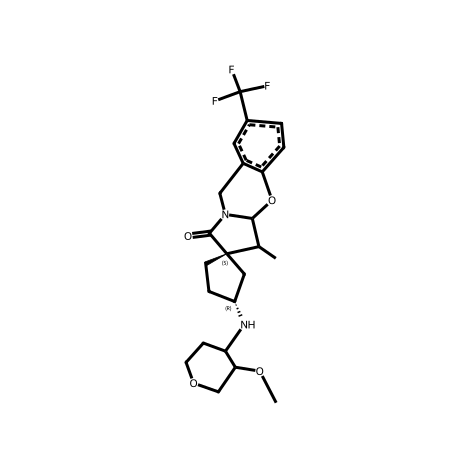 COC1COCCC1N[C@@H]1CC[C@@]2(C1)C(=O)N1Cc3cc(C(F)(F)F)ccc3OC1C2C